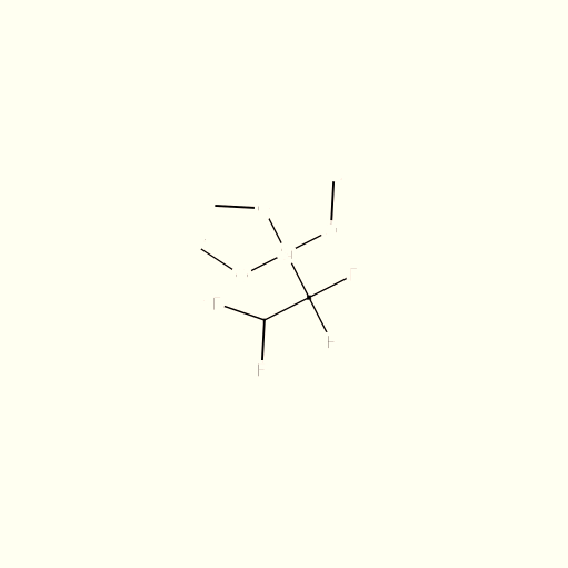 CO[Si](OC)(OC)C(F)(F)C(F)F